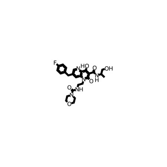 CC(CO)NC(=O)c1c(O)c2ncc(Cc3ccc(F)cc3)cc2n(CCNC(=O)N2CCOCC2)c1=O